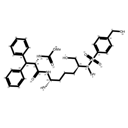 CCC[C@@H](CCC[C@@H](CO)N(CCC)S(=O)(=O)c1ccc(CO)cc1)NC(=O)[C@@H](NC(=O)OC)C(c1ccccc1)c1ccccc1